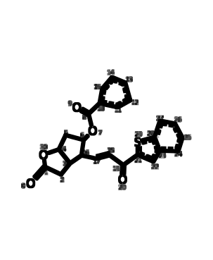 O=C1CC2C(CC(OC(=O)c3ccccc3)C2C=CC(=O)c2cc3ccccc3s2)O1